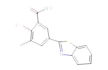 NC(=O)c1cc(-c2nc3ccccc3s2)cc(Cl)c1O